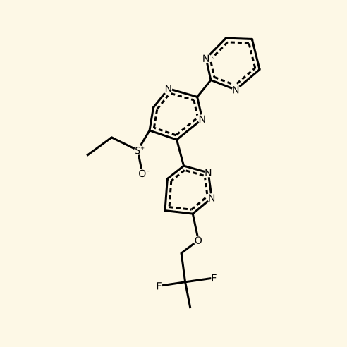 CC[S+]([O-])c1cnc(-c2ncccn2)nc1-c1ccc(OCC(C)(F)F)nn1